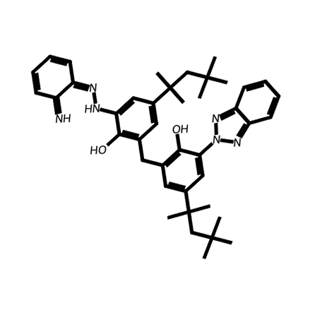 CC(C)(C)CC(C)(C)c1cc(Cc2cc(C(C)(C)CC(C)(C)C)cc(-n3nc4ccccc4n3)c2O)c(O)c(N/N=C2/C=CC=CC2=N)c1